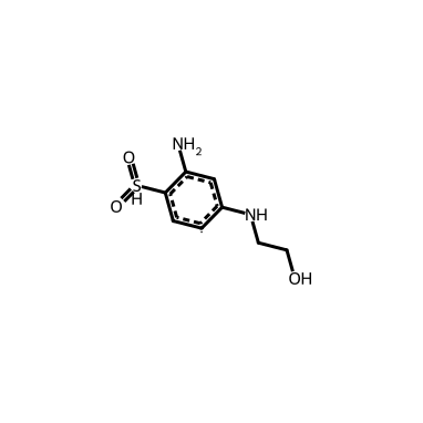 Nc1cc(NCCO)[c]cc1[SH](=O)=O